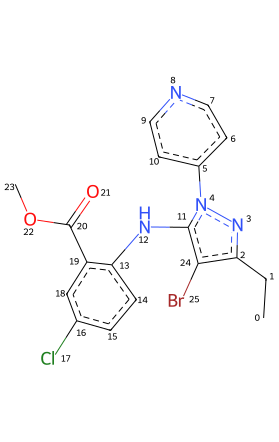 CCc1nn(-c2ccncc2)c(Nc2ccc(Cl)cc2C(=O)OC)c1Br